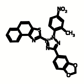 Cc1cc([N+](=O)[O-])ccc1-n1nc(-c2ccc3c(c2)OCO3)n[n+]1-c1nc2c(ccc3ccccc32)s1